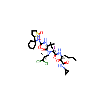 CCCC[C@H](NC(=O)[C@H](I)N(C[C@@H](C)C(Cl)Cl)C(=O)[C@@H](NC(=O)NC1(C2CCCS2(=O)=O)CCCCC1)C(C)(C)C)C(=O)C(=O)NC1CC1